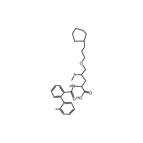 CSC(COCCCC1CCCCC1)CC(NC(=O)c1ccccc1-c1ccccc1C)C(=O)O